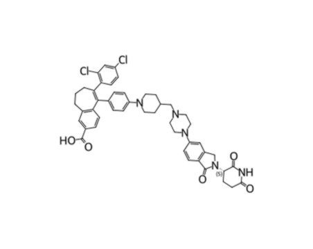 O=C1CC[C@H](N2Cc3cc(N4CCN(CC5CCN(c6ccc(C7=C(c8ccc(Cl)cc8Cl)CCCc8cc(C(=O)O)ccc87)cc6)CC5)CC4)ccc3C2=O)C(=O)N1